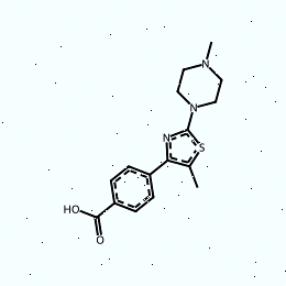 Cc1sc(N2CCN(C)CC2)nc1-c1ccc(C(=O)O)cc1